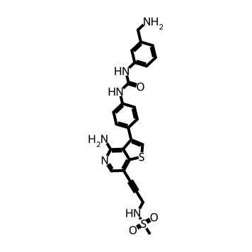 CS(=O)(=O)NCC#Cc1cnc(N)c2c(-c3ccc(NC(=O)Nc4cccc(CN)c4)cc3)csc12